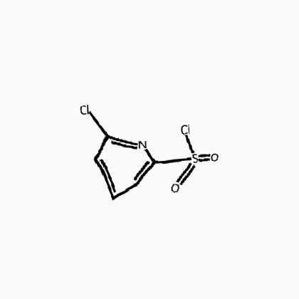 O=S(=O)(Cl)c1cccc(Cl)n1